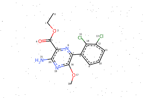 CCOC(=O)c1nc(-c2cccc(Cl)c2Cl)c(OC)nc1N